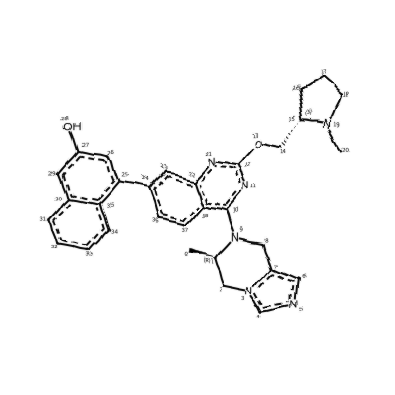 C[C@@H]1Cn2cncc2CN1c1nc(OC[C@@H]2CCCN2C)nc2cc(-c3cc(O)cc4ccccc34)ccc12